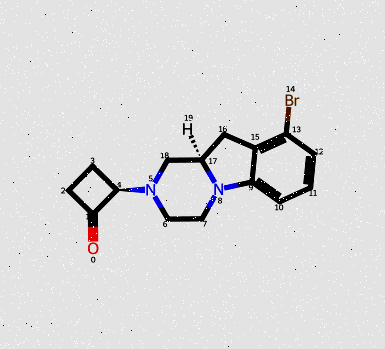 O=C1CC[C@H]1N1CCN2c3cccc(Br)c3C[C@@H]2C1